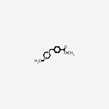 C=CN1CCN(Cc2ccc(C(=O)OC)cc2)CC1